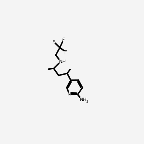 CC(CC(C)c1ccc(N)nc1)NCC(F)(F)F